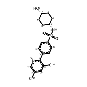 O=S(=O)(N[C@H]1CC[C@@H](O)CC1)c1ccc(-c2ncc(Cl)cc2Cl)cc1